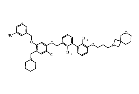 Cc1c(COc2cc(OCc3cncc(C#N)c3)c(CN3CCCCC3)cc2Cl)cccc1-c1cccc(OCCCN2CC3(CCCOC3)C2)c1C